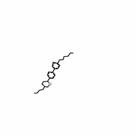 CCCCCCc1ccc(-c2ccc(C3CCC(CCCC)CO3)cc2)cc1